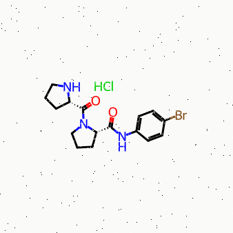 Cl.O=C(Nc1ccc(Br)cc1)[C@@H]1CCCN1C(=O)[C@@H]1CCCN1